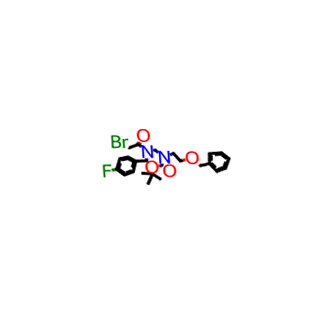 CC(C)(C)OC(=O)N(CCOCc1ccccc1)CN(Cc1ccc(F)cc1)C(=O)CBr